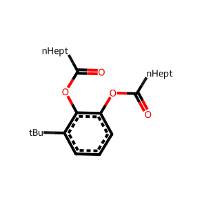 CCCCCCCC(=O)Oc1cccc(C(C)(C)C)c1OC(=O)CCCCCCC